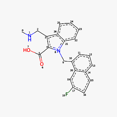 CNCc1c(C(=O)O)n(Cc2cccc3ccc(F)cc23)c2ccccc12